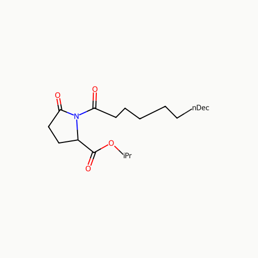 CCCCCCCCCCCCCCCC(=O)N1C(=O)CCC1C(=O)OC(C)C